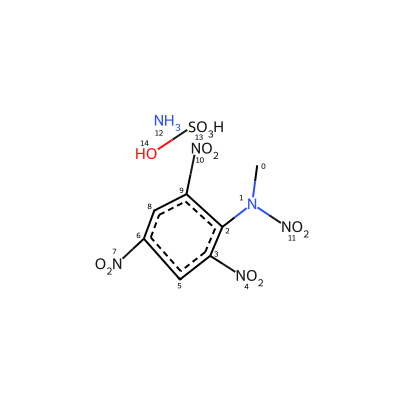 CN(c1c([N+](=O)[O-])cc([N+](=O)[O-])cc1[N+](=O)[O-])[N+](=O)[O-].N.O=S(=O)(O)O